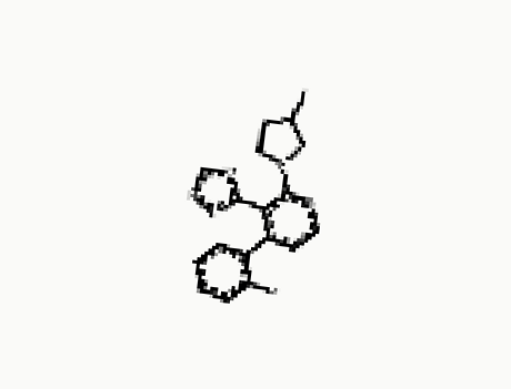 Fc1ccccc1-c1ccnc(N2CCC(F)C2)c1-c1nnco1